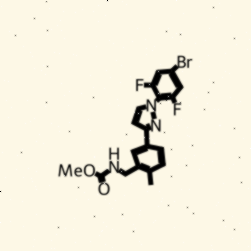 COC(=O)NCc1cc(-c2ccn(-c3c(F)cc(Br)cc3F)n2)ccc1C